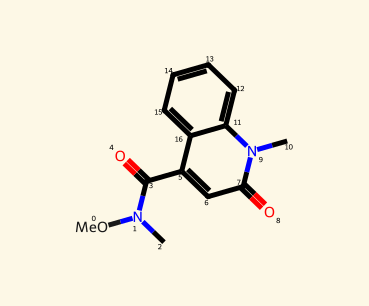 CON(C)C(=O)c1cc(=O)n(C)c2ccccc12